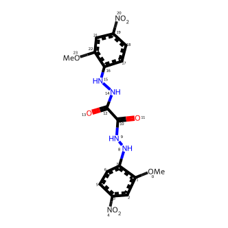 COc1cc([N+](=O)[O-])ccc1NNC(=O)C(=O)NNc1ccc([N+](=O)[O-])cc1OC